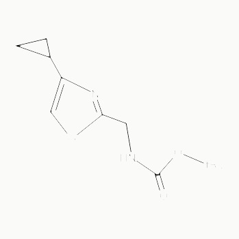 CC(C)(C)OC(=O)NCc1nc(C2CC2)co1